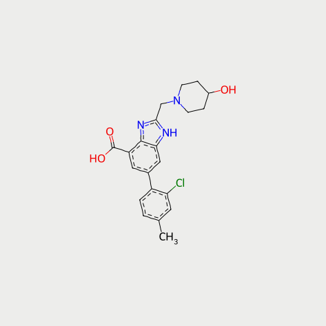 Cc1ccc(-c2cc(C(=O)O)c3nc(CN4CCC(O)CC4)[nH]c3c2)c(Cl)c1